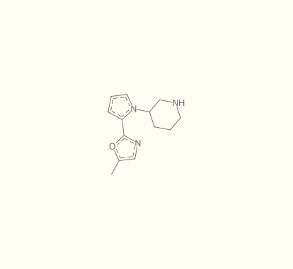 Cc1cnc(-c2cccn2C2CCCNC2)o1